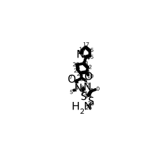 Cc1nc(N(C)C(=O)C2COc3cc(-c4ccccn4)ccc32)sc1SN